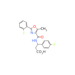 Cc1oc(-c2ccccc2F)nc1C(=O)NC(CC(=O)O)c1ccc(F)cc1